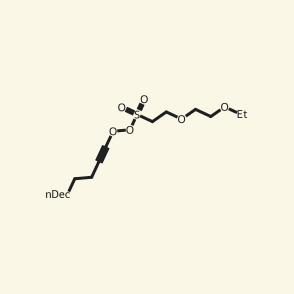 CCCCCCCCCCCCC#COOS(=O)(=O)CCOCCOCC